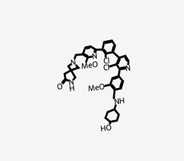 COc1cc(-c2nccc(-c3cccc(-c4ccc(CN5CC6(CNC(=O)C6)C5)c(OC)n4)c3Cl)c2Cl)ccc1CNC1CCC(O)CC1